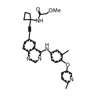 COCC(=O)NC1(C#Cc2ccc3ncnc(Nc4ccc(Oc5ccc(C)nc5)c(C)c4)c3c2)CCC1